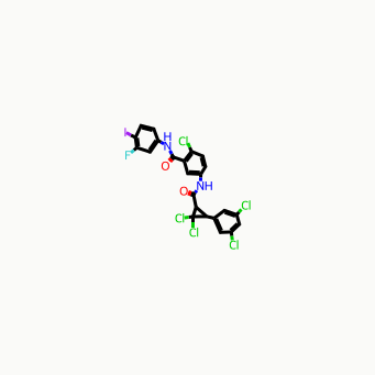 O=C(Nc1ccc(I)c(F)c1)c1cc(NC(=O)C2C(c3cc(Cl)cc(Cl)c3)C2(Cl)Cl)ccc1Cl